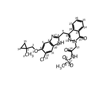 CC1(COc2cc3nc(Cc4nn(CC(=O)NS(C)(=O)=O)c(=O)c5ccccc45)[nH]c3cc2Cl)CC1